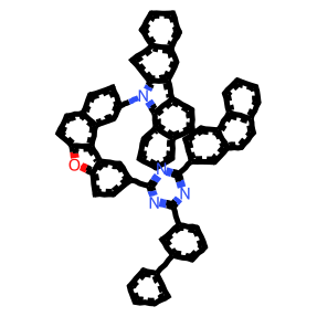 c1ccc(-c2cccc(-c3nc(-c4ccc5c(ccc6ccccc65)c4)nc(-c4ccc5oc6ccc7ccc(-n8c9cc%10ccccc%10cc9c9ccc%10ccccc%10c98)cc7c6c5c4)n3)c2)cc1